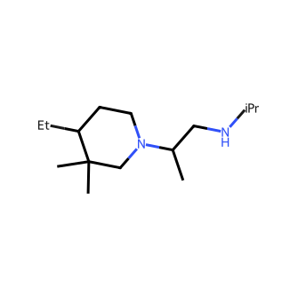 CCC1CCN(C(C)CNC(C)C)CC1(C)C